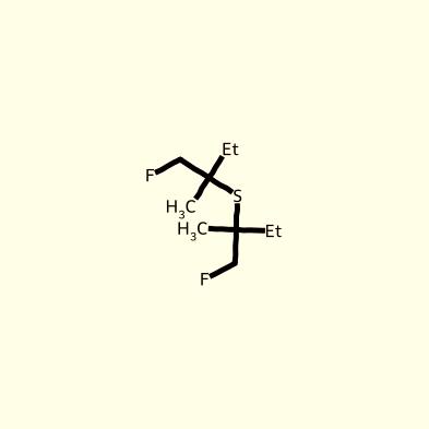 CCC(C)(CF)SC(C)(CC)CF